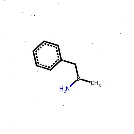 CB(N)Cc1ccccc1